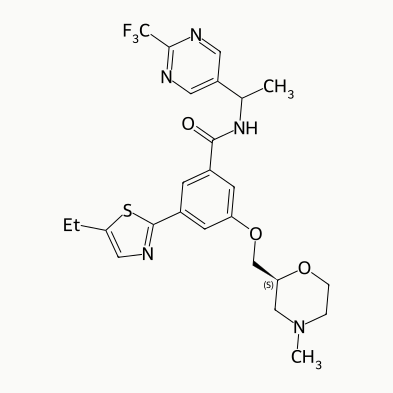 CCc1cnc(-c2cc(OC[C@@H]3CN(C)CCO3)cc(C(=O)NC(C)c3cnc(C(F)(F)F)nc3)c2)s1